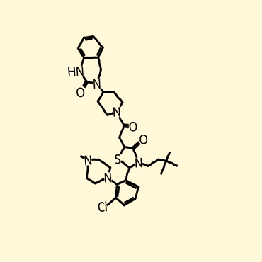 CN1CCN(c2c(Cl)cccc2C2SC(CC(=O)N3CCC(N4Cc5ccccc5NC4=O)CC3)C(=O)N2CCC(C)(C)C)CC1